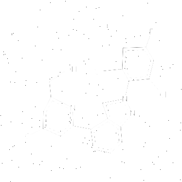 Cc1cc(CO)nc(-c2nccc3nn(-c4c(Cl)cc(F)cc4Cl)cc23)c1